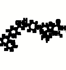 NC(=O)c1sc2cc(N3CCC(NCC(O)c4ccc(-c5cccc6cccnc56)nc4)CC3)nc(C(F)(F)F)c2c1N